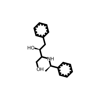 C[C@@H](NC(CO)[C@@H](O)Cc1ccccc1)c1ccccc1